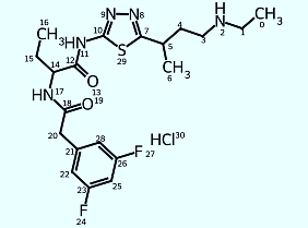 CCNCCC(C)c1nnc(NC(=O)C(CC)NC(=O)Cc2cc(F)cc(F)c2)s1.Cl